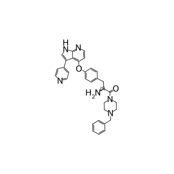 N[C@@H](Cc1ccc(Oc2ccnc3[nH]cc(-c4ccncc4)c23)cc1)C(=O)N1CCN(Cc2ccccc2)CC1